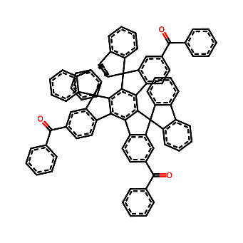 O=C(c1ccccc1)c1ccc2c(c1)C1(c3ccccc3-c3ccccc31)c1c-2c2c(c3c1-c1ccc(C(=O)c4ccccc4)cc1C31c3ccccc3-c3ccccc31)C1(c3ccccc3-c3ccccc31)c1cc(C(=O)c3ccccc3)ccc1-2